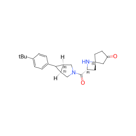 CC(C)(C)c1ccc(C2[C@H]3CN(C(=O)[C@H]4C[C@]5(CCC(=O)C5)N4)C[C@@H]23)cc1